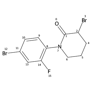 O=C1C(Br)CCCN1c1ccc(Br)cc1F